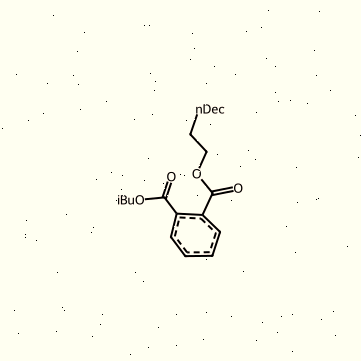 CCCCCCCCCCCCOC(=O)c1ccccc1C(=O)OCC(C)C